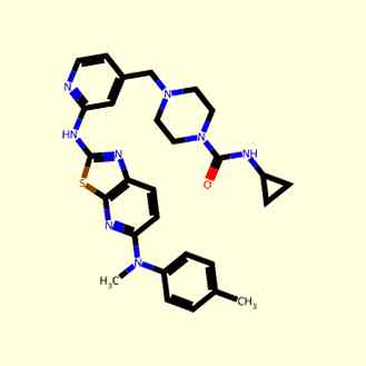 Cc1ccc(N(C)c2ccc3nc(Nc4cc(CN5CCN(C(=O)NC6CC6)CC5)ccn4)sc3n2)cc1